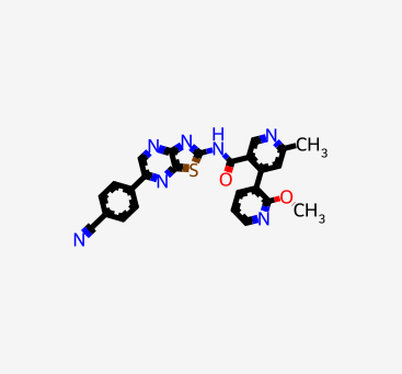 COc1ncccc1-c1cc(C)ncc1C(=O)Nc1nc2ncc(-c3ccc(C#N)cc3)nc2s1